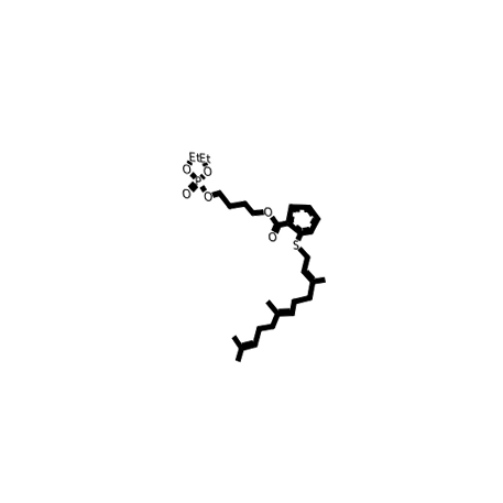 CCOP(=O)(OCC)OCCCCOC(=O)c1ccccc1SC/C=C(\C)CC/C=C(\C)CCC=C(C)C